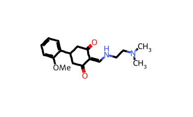 COc1ccccc1C1CC(=O)C(=CNCCN(C)C)C(=O)C1